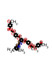 CC(=O)C1CCC(C(=O)OCC(=O)OC2CCC(C(=O)Oc3ccc(OC(=O)C4CCC(OC(=O)C(C)OC(=O)C5CCC(C(C)=O)CC5)CC4)c4nc(-c5nc6c(C)cc(C)cc6s5)sc34)CC2)CC1